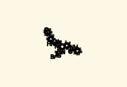 O=C(Nc1cccc(-c2nc3sc(Br)cn3c2-c2ccnc(Nc3ccc(N4CCOCC4)cc3)n2)c1)c1ccccc1